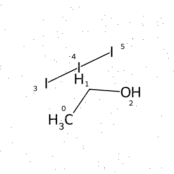 CCO.I[IH]I